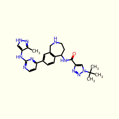 Cc1n[nH]cc1Nc1nccc(-c2ccc3c(c2)CNCCC3NC(=O)c2cn(C(C)(C)C)nn2)n1